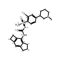 CN1CCCC(c2ccc([S@@](N)(=O)=NC(=O)Nc3c4c(cc5c3CC5)CCC4)c(F)c2)C1